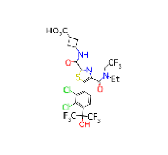 CCN(CC(F)(F)F)C(=O)c1nc(C(=O)NC2CC(C(=O)O)C2)sc1-c1ccc(C(O)(C(F)(F)F)C(F)(F)F)c(Cl)c1Cl